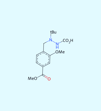 COC(=O)c1ccc(CN(NC(=O)O)C(C)(C)C)c(OC)c1